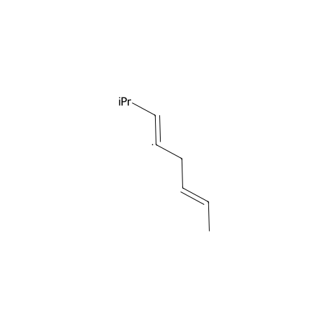 CC=CC[C]=CC(C)C